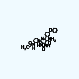 C=CC(=O)N[C@H]1CCCN(c2nc(-c3ccc(Oc4ccccc4)cc3)c(C(N)=O)c3[nH]c(=O)[nH]c23)C1